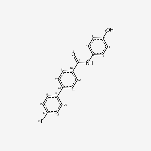 O=C(Nc1ccc(O)cc1)c1ccc(-c2ccc(F)cc2)cc1